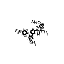 COc1cc(C(C)NC(=O)c2ccc3c(c2)c2cn(C)nc2n3-c2ccc(C(F)(F)F)cc2)sn1